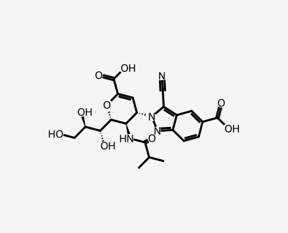 CC(C)C(=O)N[C@H]1[C@H]([C@H](O)[C@H](O)CO)OC(C(=O)O)=C[C@@H]1n1nc2ccc(C(=O)O)cc2c1C#N